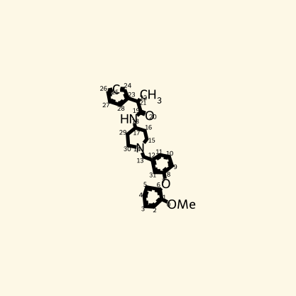 COc1ccccc1Oc1cccc(CN2CCC(NC(=O)C(C)c3ccccc3)CC2)c1